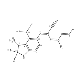 C/C=C/C(F)=C\C(C#N)=C/c1ccc2c(c1C(F)F)C(N)C(F)(F)S2